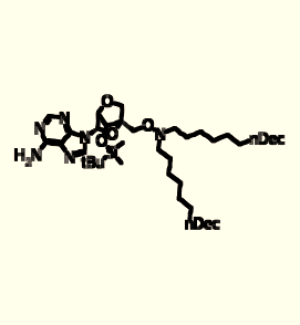 CCCCCCCCCCCCCCCCN(CCCCCCCCCCCCCCCC)OC[C@]12COC(C1O[Si](C)(C)C(C)(C)C)[C@H](n1cnc3c(N)ncnc31)O2